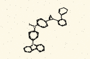 IN(c1ccc(C2=CC2c2ccccc2C2=CCCC=C2)cc1)c1ccc(-n2c3ccccc3c3ccccc32)cc1